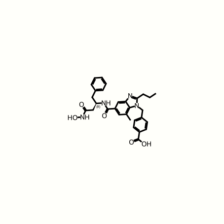 CCCc1nc2cc(C(=O)N[C@@H](CC(=O)NO)Cc3ccccc3)cc(C)c2n1Cc1ccc(C(=O)O)cc1